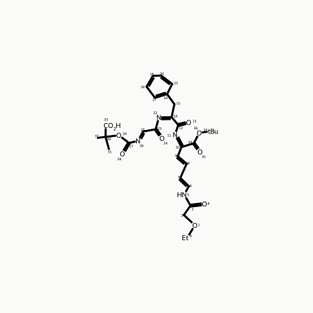 CCOCC(=O)NC=CC=CC(=NC(=O)C(Cc1ccccc1)=NC(=O)C=NC(=O)OC(C)(C)C(=O)O)C(=O)OC(C)(C)C